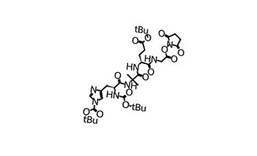 CC(C)(C)OC(=O)CC[C@H](NC(=O)C(C)(C)NC(=O)[C@H](Cc1cn(C(=O)OC(C)(C)C)cn1)NC(=O)OC(C)(C)C)C(=O)NCC(=O)ON1C(=O)CCC1=O